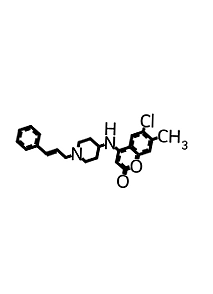 Cc1cc2oc(=O)cc(NC3CCN(CC=Cc4ccccc4)CC3)c2cc1Cl